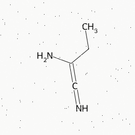 CCC(N)=C=N